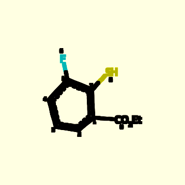 CCOC(=O)c1cccc(F)c1S